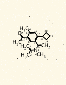 C=C(C)N(C)C(=C)c1cc(C(C)=O)c(C)cc1C1CCC1